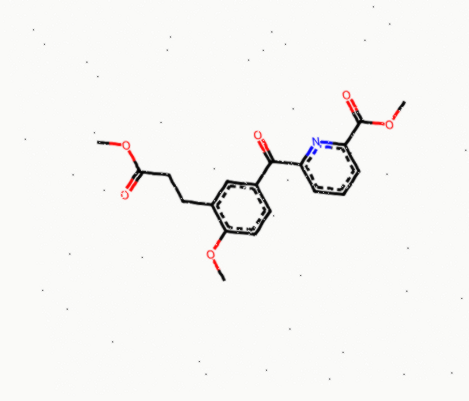 COC(=O)CCc1cc(C(=O)c2cccc(C(=O)OC)n2)ccc1OC